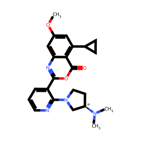 COc1cc(C2CC2)c2c(=O)oc(-c3cccnc3N3CC[C@@H](N(C)C)C3)nc2c1